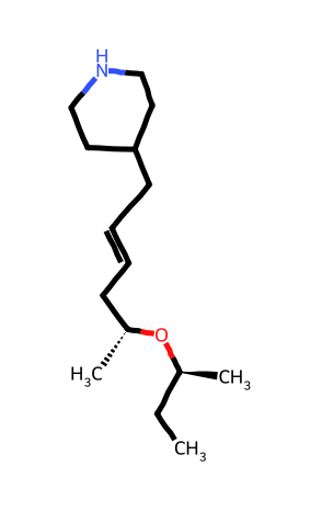 CC[C@H](C)O[C@H](C)C/C=C/CC1CCNCC1